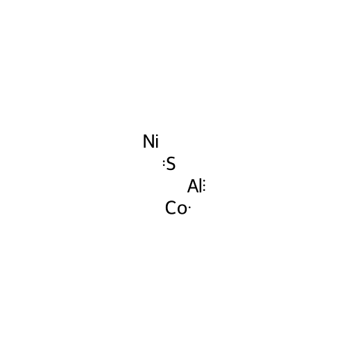 [Al].[Co].[Ni].[S]